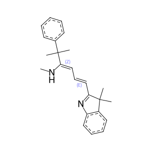 CN/C(=C\C=C\C1=Nc2ccccc2C1(C)C)C(C)(C)c1ccccc1